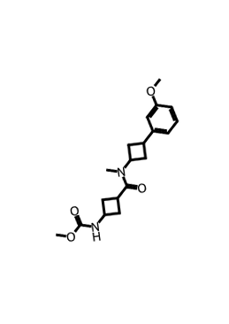 COC(=O)NC1CC(C(=O)N(C)C2CC(c3cccc(OC)c3)C2)C1